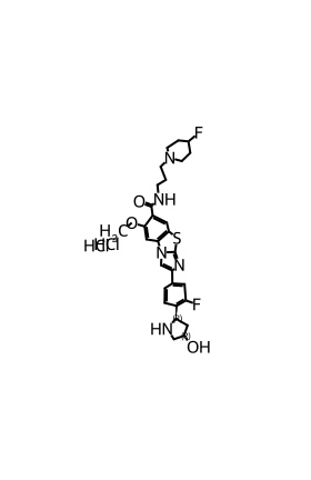 COc1cc2c(cc1C(=O)NCCCN1CCC(F)CC1)sc1nc(-c3ccc([C@H]4C[C@@H](O)CN4)c(F)c3)cn12.Cl.Cl